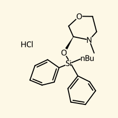 CCCC[Si](O[C@H]1COCCN1C)(c1ccccc1)c1ccccc1.Cl